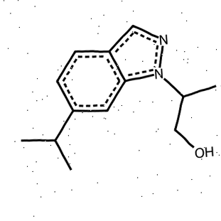 CC(C)c1ccc2cnn(C(C)CO)c2c1